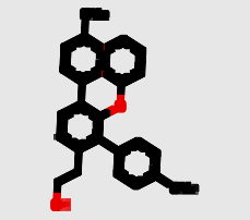 COc1ccc(-c2c[c]c(CCO)c(-c3ccc(OC)cc3)c2Oc2ccccc2)cc1